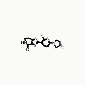 O=C1NCCc2nc(-c3ccc(N4CC[C@H](F)C4)nc3F)sc21